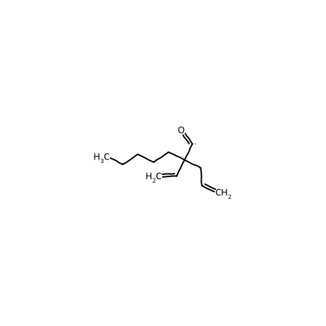 C=CCC([C]=O)(C=C)CCCCC